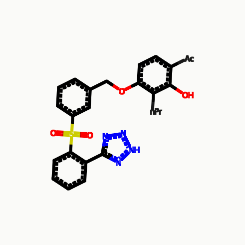 CCCc1c(OCc2cccc(S(=O)(=O)c3ccccc3-c3nn[nH]n3)c2)ccc(C(C)=O)c1O